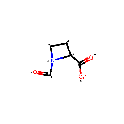 O=CN1CCC1C(=O)O